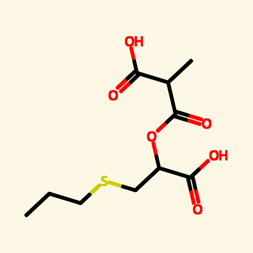 CCCSCC(OC(=O)C(C)C(=O)O)C(=O)O